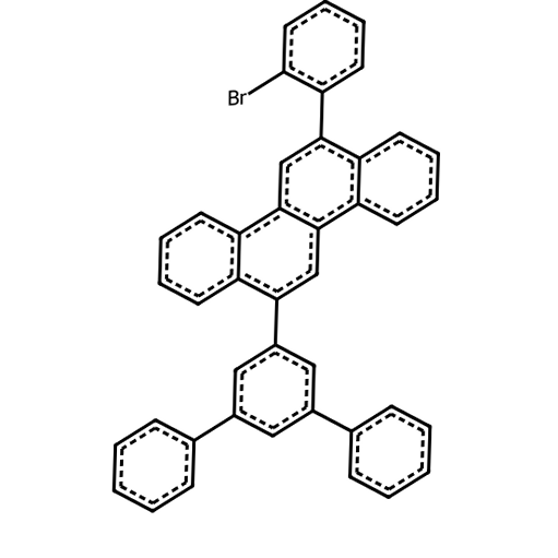 Brc1ccccc1-c1cc2c3ccccc3c(-c3cc(-c4ccccc4)cc(-c4ccccc4)c3)cc2c2ccccc12